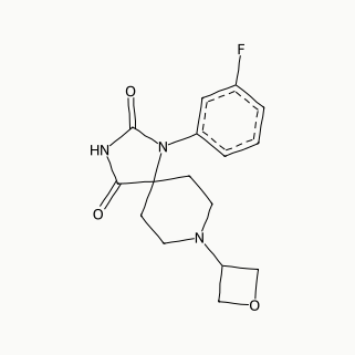 O=C1NC(=O)C2(CCN(C3COC3)CC2)N1c1cccc(F)c1